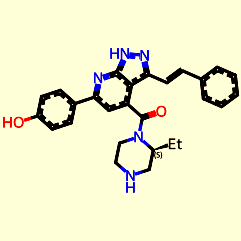 CC[C@H]1CNCCN1C(=O)c1cc(-c2ccc(O)cc2)nc2[nH]nc(C=Cc3ccccc3)c12